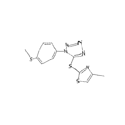 CSc1ccc(-n2nnnc2Sc2nc(C)cs2)cc1